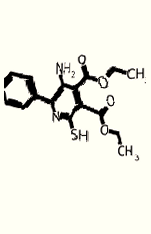 CCOC(=O)c1c(S)nc(-c2ccccc2)c(N)c1C(=O)OCC